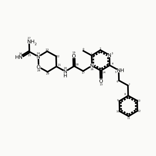 Cc1cnc(NCCc2ccccc2)c(=O)n1CC(=O)NC1CCN(C(=N)N)OC1